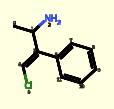 CC(N)/C(=C/Cl)c1ccccc1